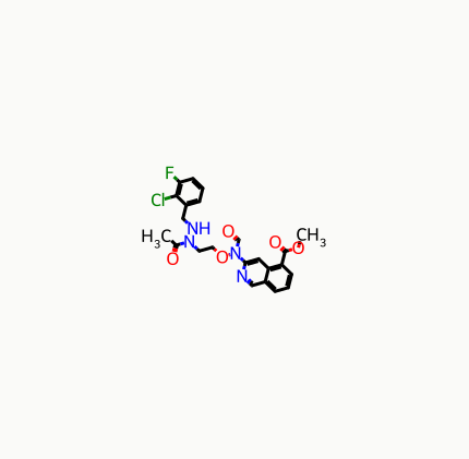 COC(=O)c1cccc2cnc(N(C=O)OCCN(NCc3cccc(F)c3Cl)C(C)=O)cc12